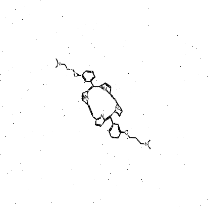 CN(C)CCCOc1cccc(/C2=C3\C=CC(=N3)/C=c3/cc/c([nH]3)=C(\c3cccc(OCCCN(C)C)c3)C3=N/C(=C\C4C5C=C2N54)C=C3)c1